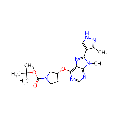 Cc1n[nH]cc1-c1nc2c(OC3CCN(C(=O)OC(C)(C)C)C3)ncnc2n1C